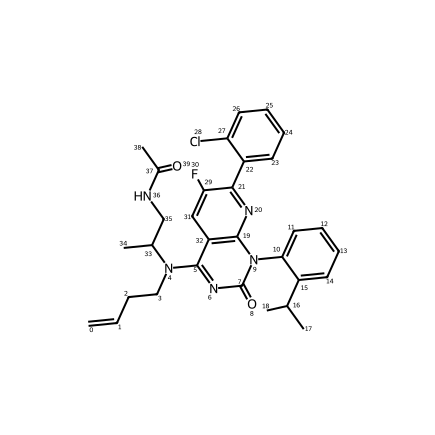 C=CCCN(c1nc(=O)n(-c2ccccc2C(C)C)c2nc(-c3ccccc3Cl)c(F)cc12)C(C)CNC(C)=O